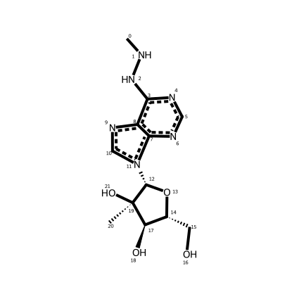 CNNc1ncnc2c1ncn2[C@@H]1O[C@H](CO)[C@@H](O)[C@@]1(C)O